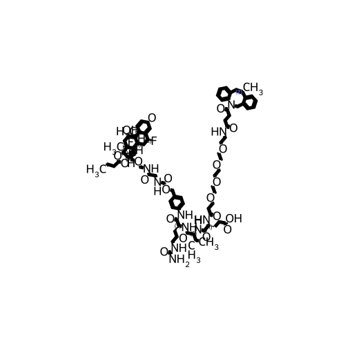 CCCC1O[C@@H]2C[C@H]3[C@@H]4C[C@H](F)C5=CC(=O)C=C[C@]5(C)[C@@]4(F)[C@@H](O)C[C@]3(C)[C@]2(C(=O)COCNC(=O)CNC(=O)OCc2ccc(NC(=O)[C@H](CCCNC(N)=O)NC(=O)[C@@H](NC(=O)[C@@H](CCC(=O)O)NC(=O)CCOCCOCCOCCOCCNC(=O)CCC(=O)N3Cc4ccccc4/C(C)=C\c4ccccc43)C(C)C)cc2)O1